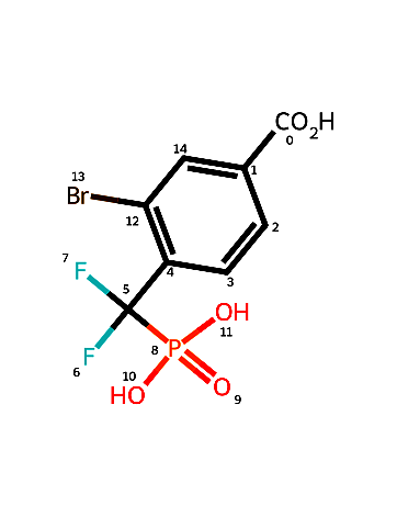 O=C(O)c1ccc(C(F)(F)P(=O)(O)O)c(Br)c1